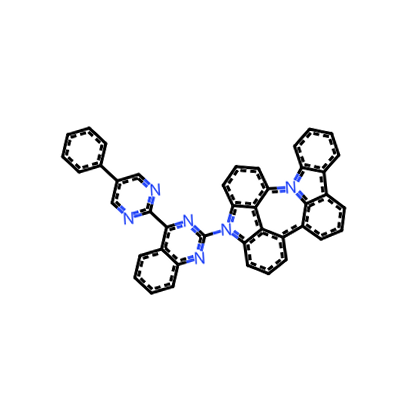 c1ccc(-c2cnc(-c3nc(-n4c5cccc6c7cccc8c9ccccc9n(c9cccc4c9c65)c78)nc4ccccc34)nc2)cc1